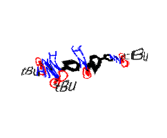 CC(C)(C)OC(=O)N=CN1CC=C(c2ccc(C(=O)Nc3ccc(CNC(=NC(=O)OC(C)(C)C)NC(=O)OC(C)(C)C)cc3)cc2)CC1